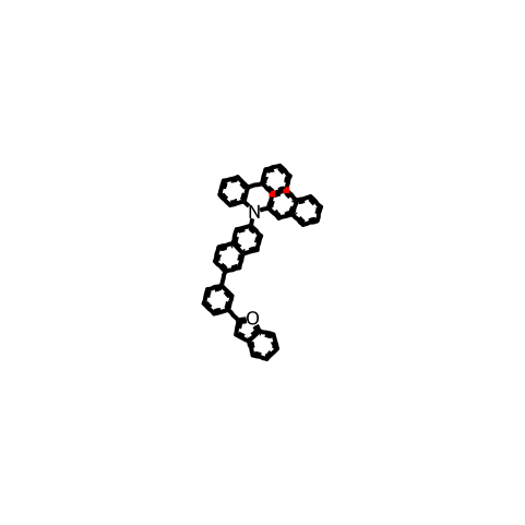 c1ccc(-c2ccccc2N(c2ccc3ccccc3c2)c2ccc3cc(-c4cccc(-c5cc6ccccc6o5)c4)ccc3c2)cc1